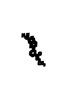 CCOC(=O)C1CCCN(c2ccc3cnc(CN)cc3n2)C1